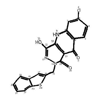 O=c1c2ccc(Cl)cc2[nH]c2c(O)nn(Cc3cc4ccccc4s3)c(=O)c12